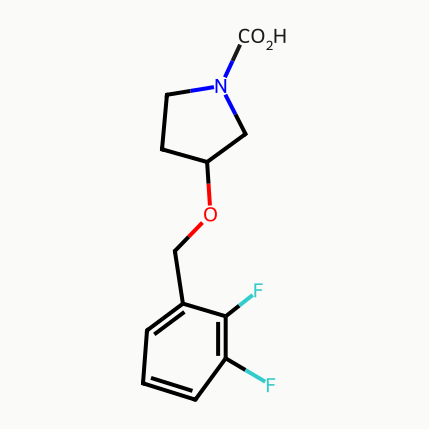 O=C(O)N1CCC(OCc2cccc(F)c2F)C1